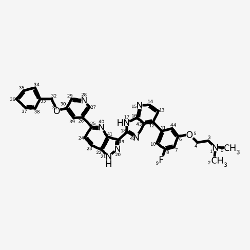 CN(C)CCOc1cc(F)cc(-c2ccnc3[nH]c(-c4n[nH]c5ccc(-c6cncc(OCc7ccccc7)c6)nc45)nc23)c1